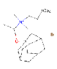 CCCCCCCCCCCC[N+](C)(C)C(C)OC12CC3CC(CC(C3)C1)C2.[Br-]